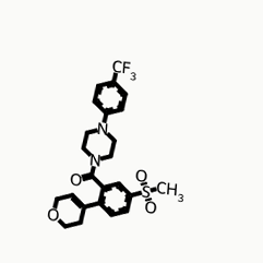 CS(=O)(=O)c1ccc(C2=CCOCC2)c(C(=O)N2CCN(c3ccc(C(F)(F)F)cc3)CC2)c1